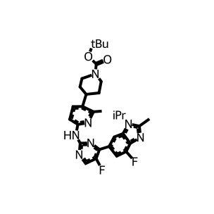 Cc1nc(Nc2ncc(F)c(-c3cc(F)c4nc(C)n(C(C)C)c4c3)n2)ccc1C1CCN(C(=O)OC(C)(C)C)CC1